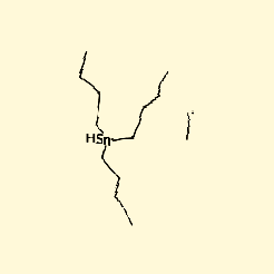 CCC[CH2][SnH]([CH2]CCC)[CH2]CCC.[CH2]C